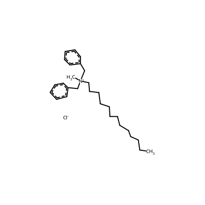 CCCCCCCCCCCCC[N+](C)(Cc1ccccc1)Cc1ccccc1.[Cl-]